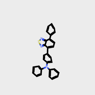 c1ccc(-c2ccc(-c3ccc(N(c4ccccc4)c4ccccc4)cc3)c3nsnc23)cc1